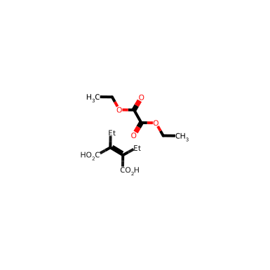 CC/C(C(=O)O)=C(\CC)C(=O)O.CCOC(=O)C(=O)OCC